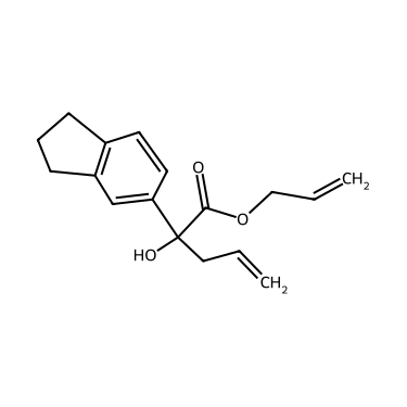 C=CCOC(=O)C(O)(CC=C)c1ccc2c(c1)CCC2